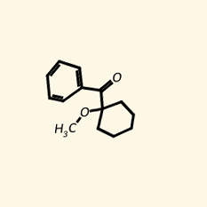 COC1(C(=O)c2ccccc2)CCCCC1